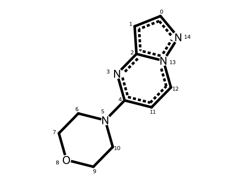 c1cc2nc(N3CCOCC3)ccn2n1